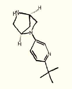 CC(C)(C)c1ccc(N2C[C@H]3C[C@@H]2CN3)cn1